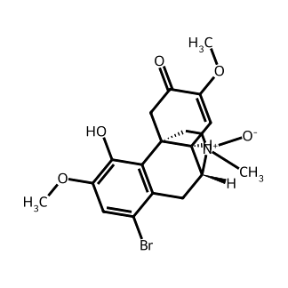 COC1=C[C@H]2[C@H]3Cc4c(Br)cc(OC)c(O)c4[C@@]2(CC[N+]3(C)[O-])CC1=O